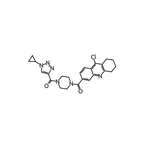 O=C(c1ccc2c(Cl)c3c(nc2c1)CCCC3)N1CCN(C(=O)c2cn(C3CC3)nn2)CC1